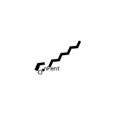 C=CC.CCCCCCCC.CCCCC[O]